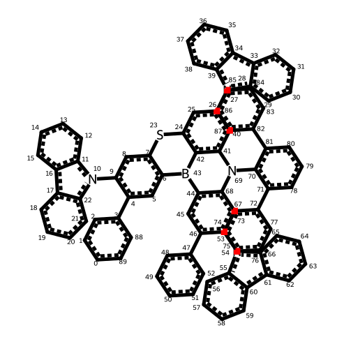 c1ccc(-c2cc3c(cc2-n2c4ccccc4c4ccccc42)Sc2cc(-n4c5ccccc5c5ccccc54)cc4c2B3c2cc(-c3ccccc3)c(-n3c5ccccc5c5ccccc53)cc2N4c2c(-c3ccccc3)cccc2-c2ccccc2)cc1